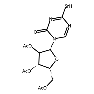 CC(=O)OC[C@H]1O[C@@H](n2cn[c]([SrH])nc2=O)C(OC(C)=O)[C@H]1OC(C)=O